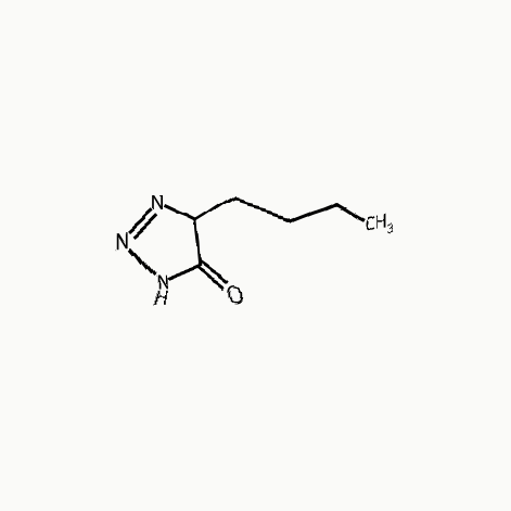 CCCCC1N=NNC1=O